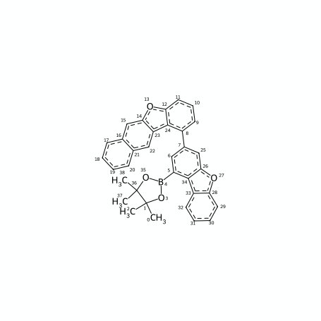 CC1(C)OB(c2cc(-c3cccc4oc5cc6ccccc6cc5c34)cc3oc4ccccc4c23)OC1(C)C